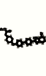 COC(=O)CC1CCC(Oc2ccc(-c3ccc(-c4nc5cccc(Br)c5[nH]4)cn3)cn2)CC1